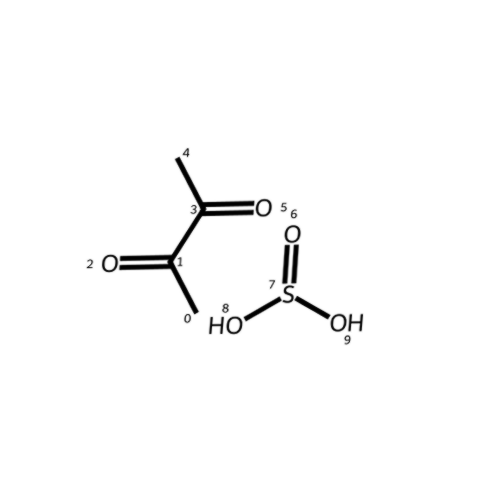 CC(=O)C(C)=O.O=S(O)O